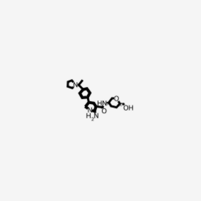 CC(c1ccc(-c2cnc(N)c(C(=O)N[C@@H]3CC[C@@H](CO)OC3)c2)cc1)N1CCCC1